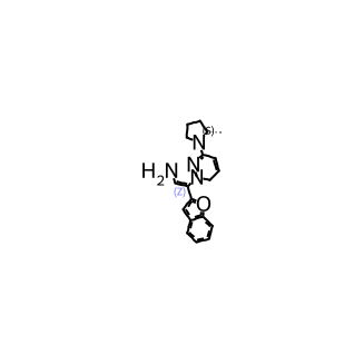 C[C@H]1CCCN1C1=NN(/C(=C\N)c2cc3ccccc3o2)CC=C1